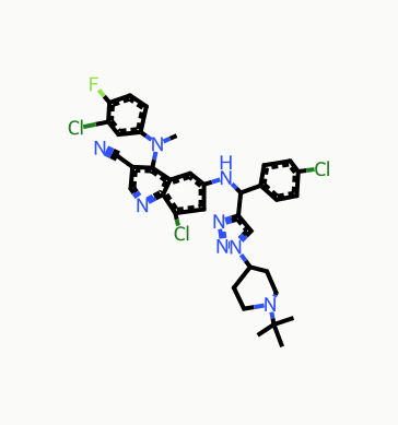 CN(c1ccc(F)c(Cl)c1)c1c(C#N)cnc2c(Cl)cc(NC(c3ccc(Cl)cc3)c3cn(C4CCN(C(C)(C)C)CC4)nn3)cc12